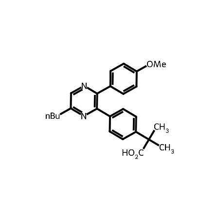 CCCCc1cnc(-c2ccc(OC)cc2)c(-c2ccc(C(C)(C)C(=O)O)cc2)n1